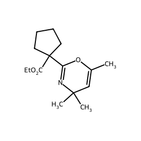 CCOC(=O)C1(C2=NC(C)(C)C=C(C)O2)CCCC1